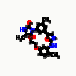 Cc1cc(-c2cnc(Nc3cc(OCCO)ccc3C)o2)cc(N2CC(C)NC2=O)c1